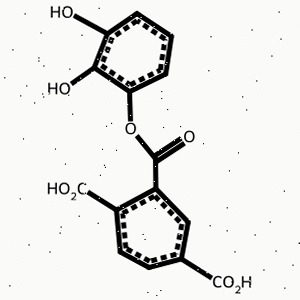 O=C(O)c1ccc(C(=O)O)c(C(=O)Oc2cccc(O)c2O)c1